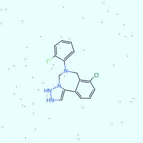 Fc1ccccc1N1Cc2c(Cl)cccc2C2=CNNN2C1